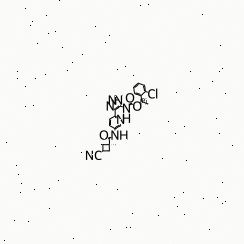 C[C@@H](OC(=O)Nc1c(-c2ccc(NC(=O)[C@]3(C)C[C@@H](C#N)C3)cn2)nnn1C)c1ccccc1Cl